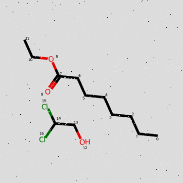 CCCCCCCC(=O)OCC.OCC(Cl)Cl